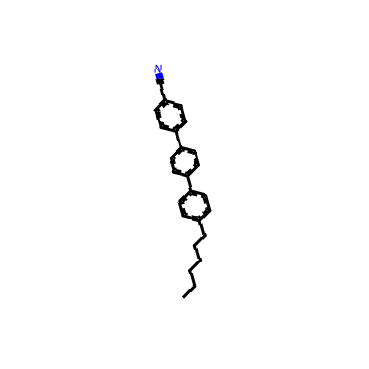 CCCCCCc1ccc(-c2ccc(-c3ccc(C#N)cc3)cc2)cc1